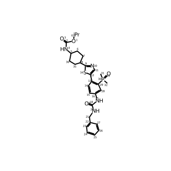 CC(C)OC(=O)NC1CCC(c2ncc(-c3ccc(NC(=O)NCc4ccccc4)cc3P(C)(C)=O)s2)CC1